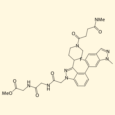 CNC(=O)CCC(=O)N1CCC(c2nn(CC(=O)NCC(=O)NCC(=O)OC)c3cccc(-c4cc5c(cnn5C)cc4F)c23)CC1